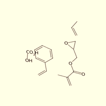 C=C(C)C(=O)OCC1CO1.C=CC.C=Cc1ccccc1.O=C(O)O